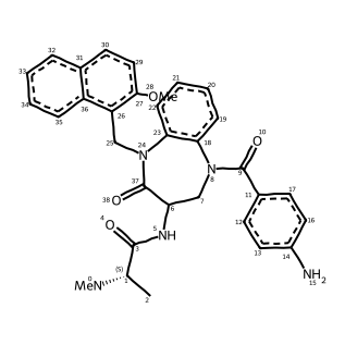 CN[C@@H](C)C(=O)NC1CN(C(=O)c2ccc(N)cc2)c2ccccc2N(Cc2c(OC)ccc3ccccc23)C1=O